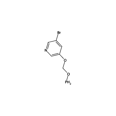 POCOc1cncc(Br)c1